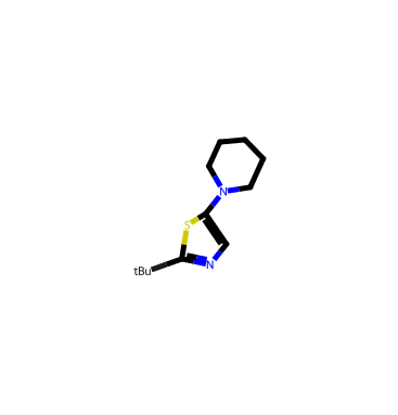 CC(C)(C)c1ncc(N2CCCCC2)s1